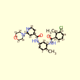 Cc1ccc(NC(=O)c2ccnc(N3CCOCC3)c2)cc1NC(=O)c1cccc(Cl)c1C